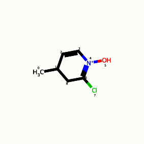 CC1C=C[N+](O)=C(Cl)C1